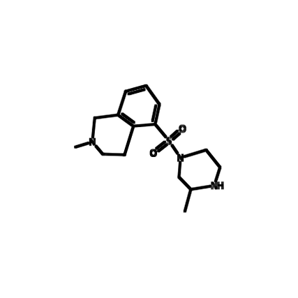 CC1CN(S(=O)(=O)c2cccc3c2CCN(C)C3)CCN1